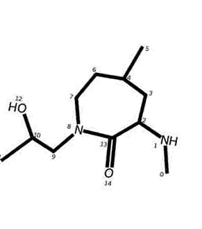 CNC1CC(C)CCN(CC(C)O)C1=O